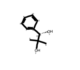 CC(C)(O)[C@@H](O)c1ccccc1